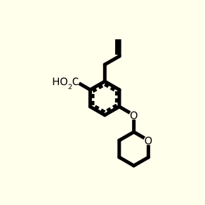 C=CCc1cc(OC2CCCCO2)ccc1C(=O)O